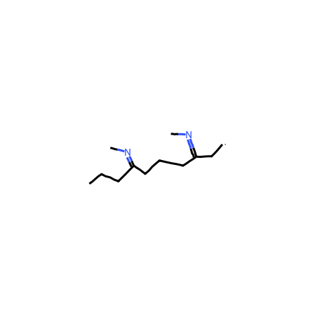 [CH2]CC(CCCC(CCC)=NC)=NC